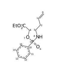 C=CCCNP(=O)(OCC(=O)OCC)c1ccccc1